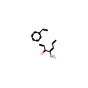 C=CC=C(C(=O)C=C)[N+](=O)[O-].C=Cc1ccccc1